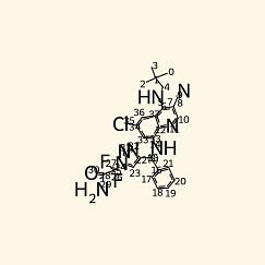 CC(C)(C)CNc1c(C#N)cnc2c(N[C@@H](c3ccccc3)c3cn(C(F)(F)C(N)=O)nn3)cc(Cl)cc12